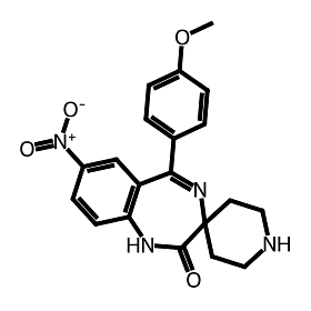 COc1ccc(C2=NC3(CCNCC3)C(=O)Nc3ccc([N+](=O)[O-])cc32)cc1